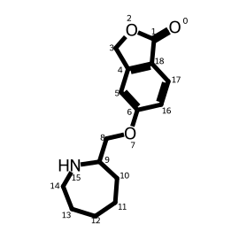 O=C1OCc2cc(OCC3CCCCCN3)ccc21